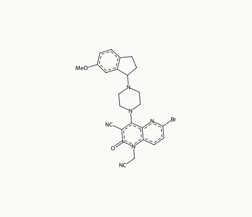 COc1ccc2c(c1)C(N1CCN(c3c(C#N)c(=O)n(CC#N)c4ccc(Br)nc34)CC1)CC2